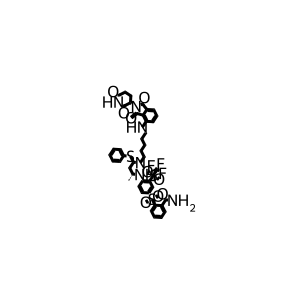 C[C@H](CC(Sc1ccccc1)N(C)CCCCCNc1cccc2c1C(=O)N(C1CCC(=O)NC1=O)C2=O)Nc1ccc(S(=O)(=O)c2ccccc2C(N)=O)cc1S(=O)(=O)C(F)(F)F